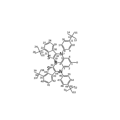 Cc1cc2c3c(c1)N(c1ccc(C(C)(C)C)cc1)c1c(sc4c(C(C)(C)C)cccc14)B3c1sc3c(C(C)(C)C)cccc3c1N2c1ccc(C(C)(C)C)cc1